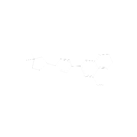 CNc1nc(-c2ccc(N3CCC(F)(F)C3)cc2)cc2c1=NCCN=2